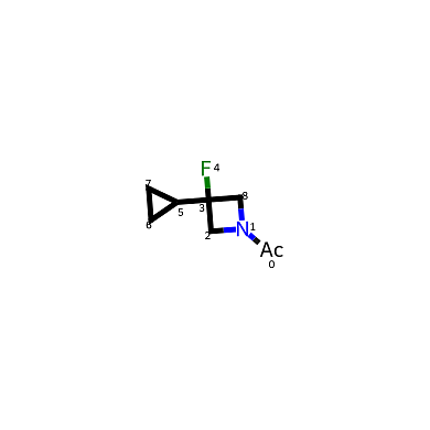 CC(=O)N1CC(F)(C2CC2)C1